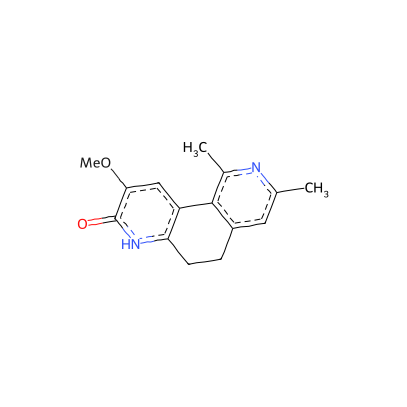 COc1cc2c([nH]c1=O)CCc1cc(C)nc(C)c1-2